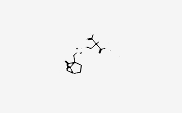 COC(=O)C(C)(COS(=O)(=O)CC12CCC(CC1=O)C2(C)C)C(C)=O